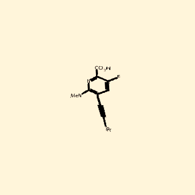 CNc1nc(C(=O)O)c(F)cc1C#CC(C)C